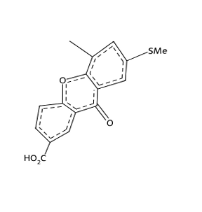 CSc1cc(C)c2oc3ccc(C(=O)O)cc3c(=O)c2c1